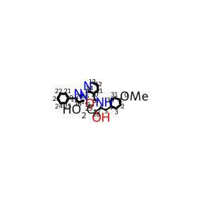 COc1ccc(CC(NC(=O)c2cccnc2-n2ccc(-c3ccccc3)n2)C(O)C(=O)O)cc1